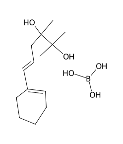 CC(C)(O)C(C)(O)C/C=C/C1=CCCCC1.OB(O)O